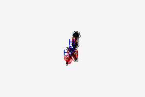 CCOC(=O)CC[C@H](NC(=O)[C@@H](Cc1ccc(OCc2ccccc2)cc1)NC(C)=O)C(=O)OCC